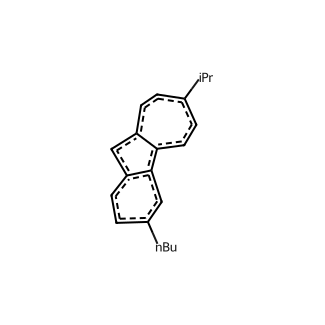 CCCCc1ccc2cc3ccc(C(C)C)ccc-3c2c1